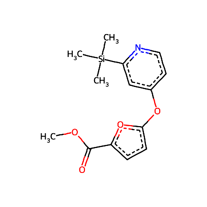 COC(=O)c1ccc(Oc2ccnc([Si](C)(C)C)c2)o1